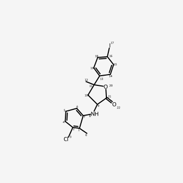 Cc1c(Cl)cccc1NC1CC(C)(c2ccc(I)cc2)OC1=O